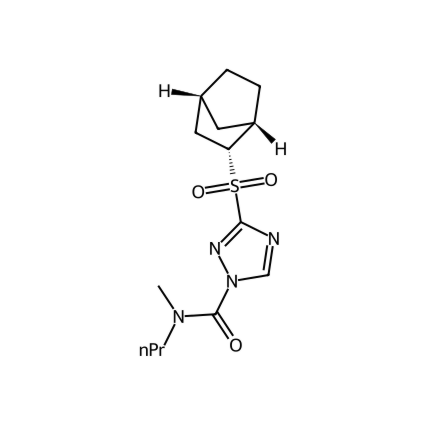 CCCN(C)C(=O)n1cnc(S(=O)(=O)[C@@H]2C[C@@H]3CC[C@H]2C3)n1